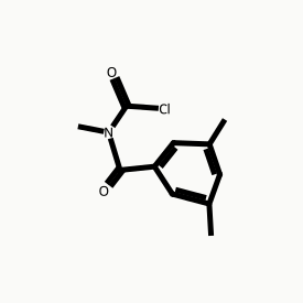 Cc1cc(C)cc(C(=O)N(C)C(=O)Cl)c1